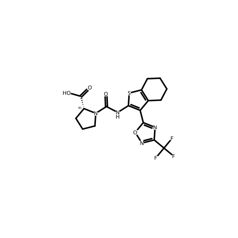 O=C(O)[C@H]1CCCN1C(=O)Nc1sc2c(c1-c1nc(C(F)(F)F)no1)CCCC2